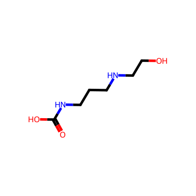 O=C(O)NCCCNCCO